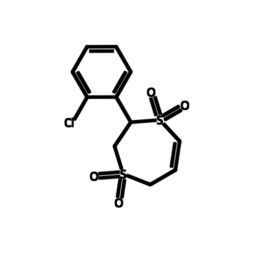 O=S1(=O)CC=CS(=O)(=O)C(c2ccccc2Cl)C1